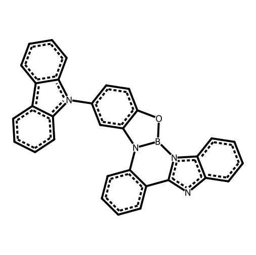 c1ccc2c(c1)-c1nc3ccccc3n1B1Oc3ccc(-n4c5ccccc5c5ccccc54)cc3N12